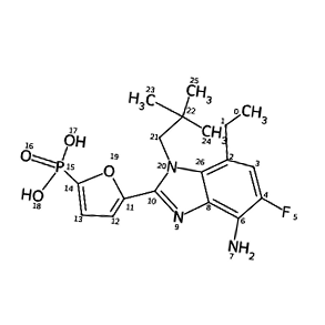 CCc1cc(F)c(N)c2nc(-c3ccc(P(=O)(O)O)o3)n(CC(C)(C)C)c12